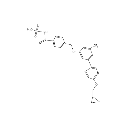 CS(=O)(=O)NC(=O)c1ccc(COc2cc(-c3ccc(OCC4CC4)nc3)cc(C(F)(F)F)c2)cc1